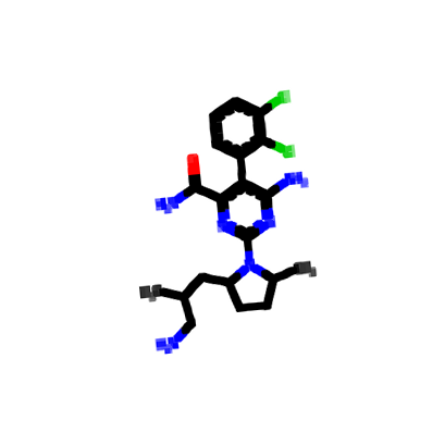 CC(CN)CC1CCC(C)N1c1nc(N)c(-c2cccc(Cl)c2Cl)c(C(N)=O)n1